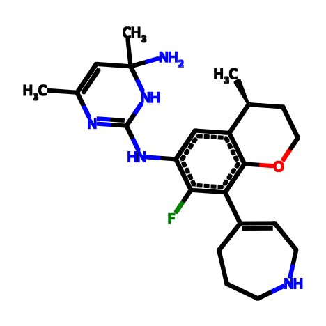 CC1=CC(C)(N)NC(Nc2cc3c(c(C4=CCNCCC4)c2F)OCC[C@@H]3C)=N1